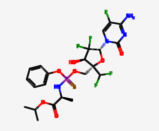 CC(C)OC(=O)[C@H](C)NP(=S)(OC[C@@]1(C(F)F)O[C@@H](n2cc(F)c(N)nc2=O)C(F)(F)[C@@H]1O)Oc1ccccc1